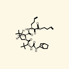 C=CCCNC(=O)C(=O)[C@H](CCC=C)NC(=O)[C@@H]1[C@@H]2[C@H](CN1C(=O)[C@@H](NC(=O)NC1CC3CCC1C3)C(C)(C)C)C2(C)C